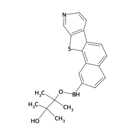 CC(C)(O)C(C)(C)OBc1ccc2ccc3c4ccncc4sc3c2c1